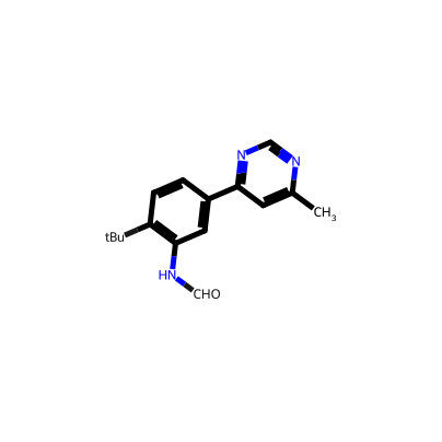 Cc1cc(-c2ccc(C(C)(C)C)c(NC=O)c2)ncn1